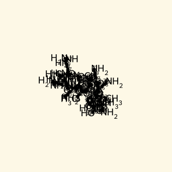 CSCC[C@H](NC(=O)[C@H](CCC(N)=O)NC(=O)[C@H](CCCCN)NC(=O)[C@H](CCCNC(=N)N)NC(=O)[C@H](CC(C)C)NC(=O)[C@@H](N)CCCNC(=N)N)C(=O)N[C@@H](C)C(=O)N[C@H](C(=O)N[C@@H](CCCCN)C(=O)N[C@@H](CCCCN)C(=O)N[C@@H](Cc1ccc(O)cc1)C(=O)N[C@@H](CC(C)C)C(=O)N[C@@H](CC(N)=O)C(=O)N[C@@H](CO)C(=O)O)C(C)C